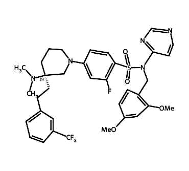 COc1ccc(CN(c2ccncn2)S(=O)(=O)c2ccc(N3CCC[C@](CCc4cccc(C(F)(F)F)c4)(N(C)C)C3)cc2F)c(OC)c1